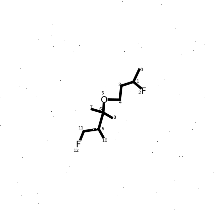 CC(F)CCOC(C)(C)C(C)CF